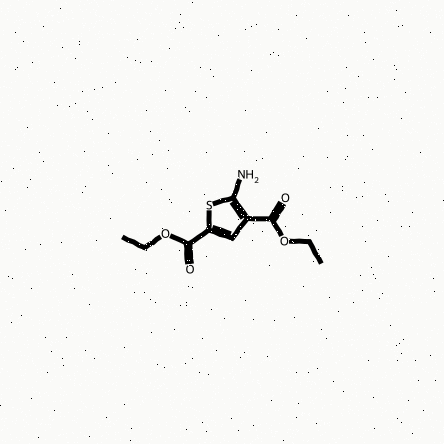 CCOC(=O)c1cc(C(=O)OCC)c(N)s1